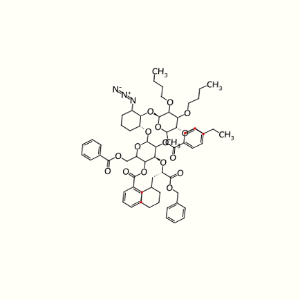 CCCCOC1C(OCCCC)[C@H](OCCCC)C(C)O[C@H]1OC1C(N=[N+]=[N-])CCC[C@H]1OC1OC(COC(=O)c2ccccc2)C(OC(=O)c2ccccc2)[C@H](O[C@@H](CC2CCCCC2)C(=O)OCc2ccccc2)C1OC(=O)c1ccccc1